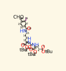 CC(C)(C)OC(=O)CC[C@H](NC(=O)N[C@@H](CCCCNC(=O)c1ccc(CC=O)c(I)c1)C(=O)OC(C)(C)C)C(=O)OC(C)(C)C